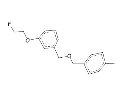 Cc1ccc(COCc2cccc(OCCF)c2)cc1